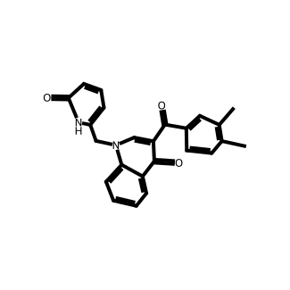 Cc1ccc(C(=O)c2cn(Cc3cccc(=O)[nH]3)c3ccccc3c2=O)cc1C